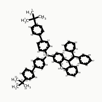 CC(C)(C)c1ccc(-c2ccc(N(c3ccc(-c4ccc(C(C)(C)C)cc4)cc3)c3ccc4c(c3)Oc3ccccc3C4=C(c3ccccc3)c3ccccc3)cc2)cc1